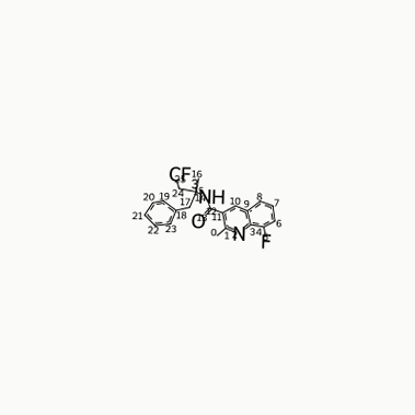 Cc1nc2c(F)cccc2cc1C(=O)NC(C)(Cc1ccccc1)CC(F)(F)F